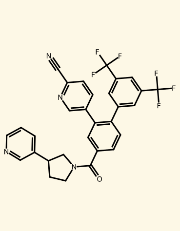 N#Cc1ccc(-c2cc(C(=O)N3CCC(c4cccnc4)C3)ccc2-c2cc(C(F)(F)F)cc(C(F)(F)F)c2)cn1